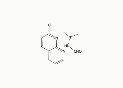 CN(C)NC=O.Clc1ccc2cccnc2n1